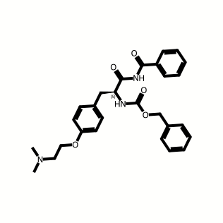 CN(C)CCOc1ccc(C[C@H](NC(=O)OCc2ccccc2)C(=O)NC(=O)c2ccccc2)cc1